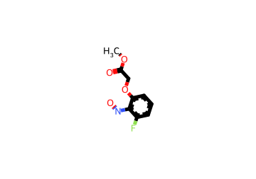 COC(=O)COc1cccc(F)c1N=O